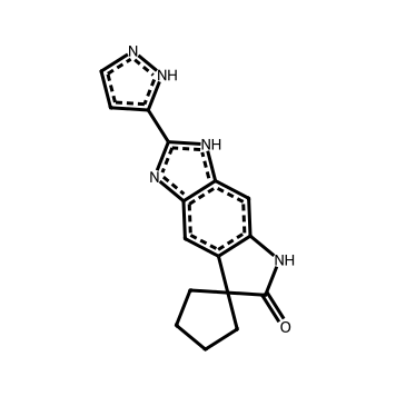 O=C1Nc2cc3[nH]c(-c4ccn[nH]4)nc3cc2C12CCCC2